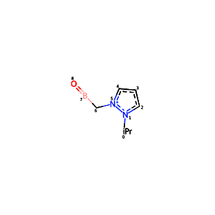 CC(C)n1ccc[n+]1CB=O